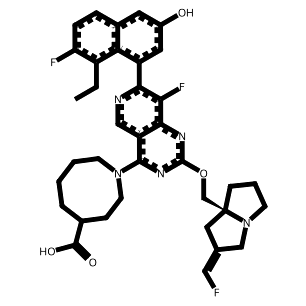 CCc1c(F)ccc2cc(O)cc(-c3ncc4c(N5CCCCC(C(=O)O)CC5)nc(OC[C@@]56CCCN5C/C(=C\F)C6)nc4c3F)c12